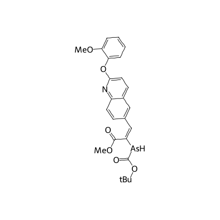 COC(=O)/C(=C\c1ccc2nc(Oc3ccccc3OC)ccc2c1)[AsH]C(=O)OC(C)(C)C